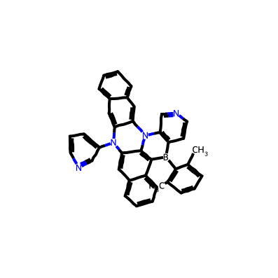 Cc1cccc(C)c1B1c2ccncc2N2c3cc4ccccc4cc3N(c3cccnc3)c3cc4ccccc4c1c32